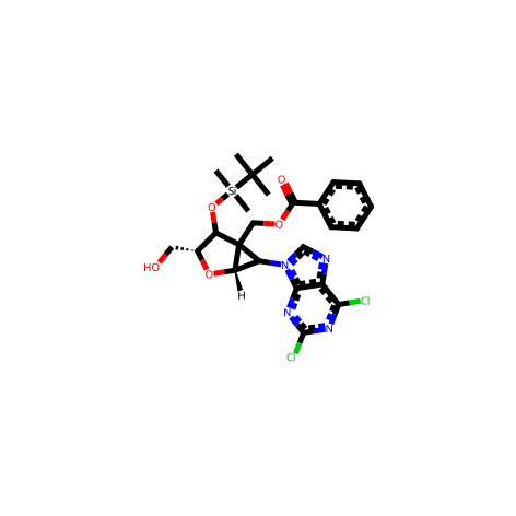 CC(C)(C)[Si](C)(C)OC1[C@@H](CO)O[C@H]2C(n3cnc4c(Cl)nc(Cl)nc43)C12COC(=O)c1ccccc1